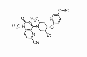 CC[C@H]1CN(c2nc(=O)n(C)c3ccc(C#N)nc23)[C@@H](C)C[C@@H]1Oc1ccc(OC(C)C)cn1